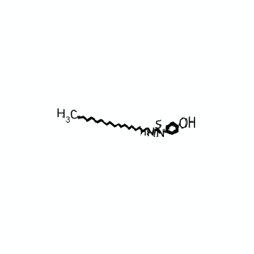 CCCCCCCCCCCCCCCCCCCNC(=S)Nc1ccc(O)cc1